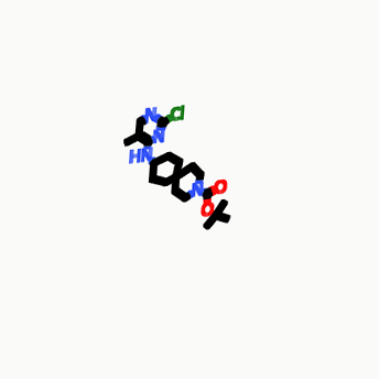 Cc1cnc(Cl)nc1NC1CCC2(CC1)CCN(C(=O)OC(C)(C)C)CC2